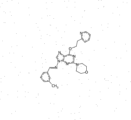 Cc1cccc(/C=N/n2cnc3c(OCCc4ccccn4)nc(N4CCOCC4)nc32)c1